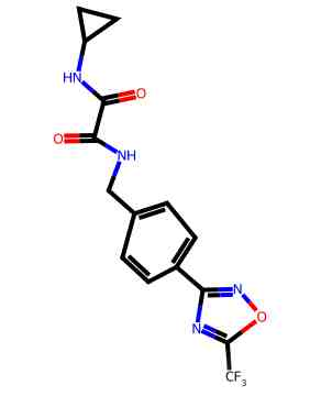 O=C(NCc1ccc(-c2noc(C(F)(F)F)n2)cc1)C(=O)NC1CC1